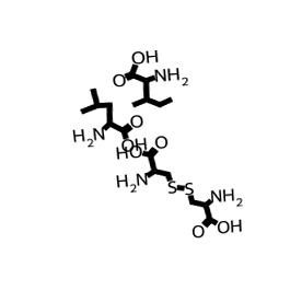 CC(C)CC(N)C(=O)O.CCC(C)C(N)C(=O)O.NC(CSSCC(N)C(=O)O)C(=O)O